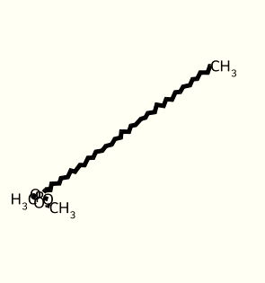 CCCCCCCCCCCCCCCCCCCCCCCCCCCCCCCCCCCCCC/C=C/P(=O)(OC)OCC